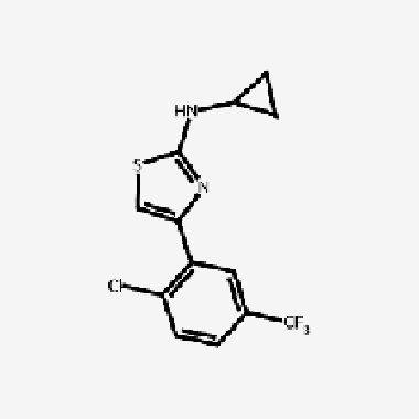 FC(F)(F)c1ccc(Cl)c(-c2csc(NC3CC3)n2)c1